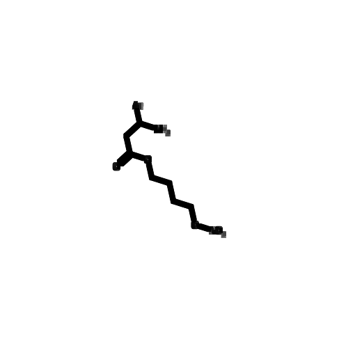 CC(=O)C(N)CC(=O)OCCCCO[N+](=O)[O-]